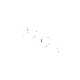 C1=COCC1.CC(C)COC(=O)c1ccc(CC(C)C)cc1C(=O)O